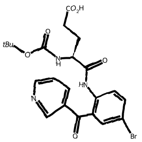 CC(C)(C)OC(=O)N[C@@H](CCC(=O)O)C(=O)Nc1ccc(Br)cc1C(=O)c1cccnc1